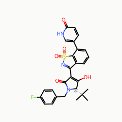 CC(C)(C)[C@H]1C(O)=C(C2=NS(=O)(=O)c3c2cccc3-c2ccc(=O)[nH]c2)C(=O)N1Cc1ccc(F)cc1